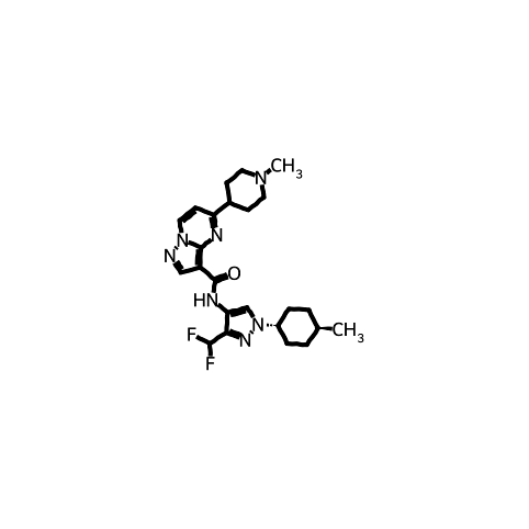 CN1CCC(c2ccn3ncc(C(=O)Nc4cn([C@H]5CC[C@H](C)CC5)nc4C(F)F)c3n2)CC1